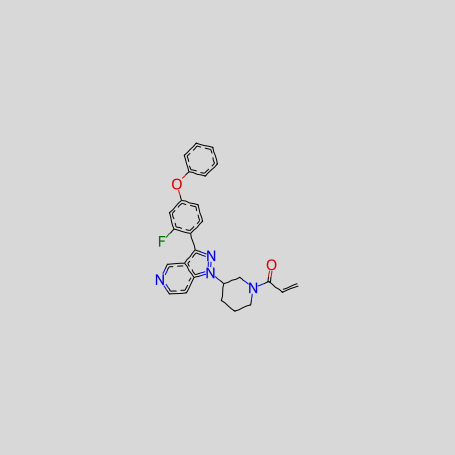 C=CC(=O)N1CCCC(n2nc(-c3ccc(Oc4ccccc4)cc3F)c3cnccc32)C1